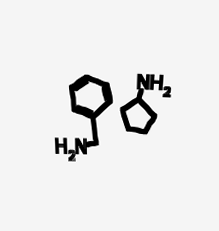 NC1CCCC1.NCc1ccccc1